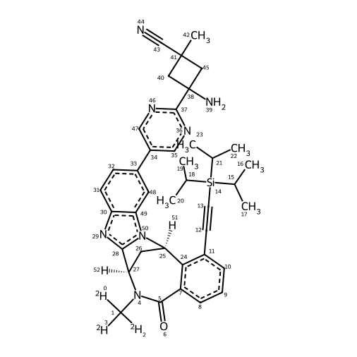 [2H]C([2H])([2H])N1C(=O)c2cccc(C#C[Si](C(C)C)(C(C)C)C(C)C)c2[C@H]2C[C@@H]1c1nc3ccc(-c4cnc(C5(N)CC(C)(C#N)C5)nc4)cc3n12